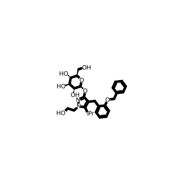 CC(C)c1c(Cc2ccccc2OCc2ccccc2)c(O[C@@H]2O[C@H](CO)[C@@H](O)[C@H](O)[C@H]2O)nn1CCO